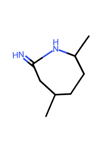 CC1CCC(C)NC(=N)C1